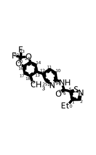 CCc1cnsc1C(=O)Nc1ccc(-c2cc3c(cc2C)OC(F)(F)O3)cn1